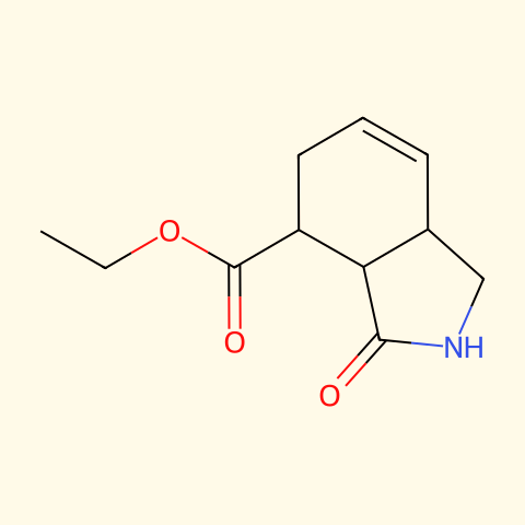 CCOC(=O)C1CC=CC2CNC(=O)C21